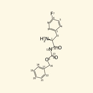 N[C@@H](Cc1ccc(F)cc1)C(=O)[N]C(=O)OCc1ccccc1